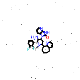 N[C@H]1C(n2c(=O)[nH]c3ncccc32)CC(C2CCCCc3cccnc32)N(C(=O)O)[C@H]1c1cccc(F)c1F